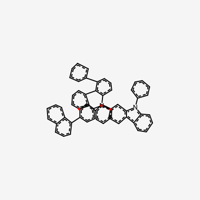 c1ccc(-c2ccccc2-c2c(-c3ccccc3)cccc2N(c2ccc(-c3cccc4ccccc34)cc2)c2ccc3c4ccccc4n(-c4ccccc4)c3c2)cc1